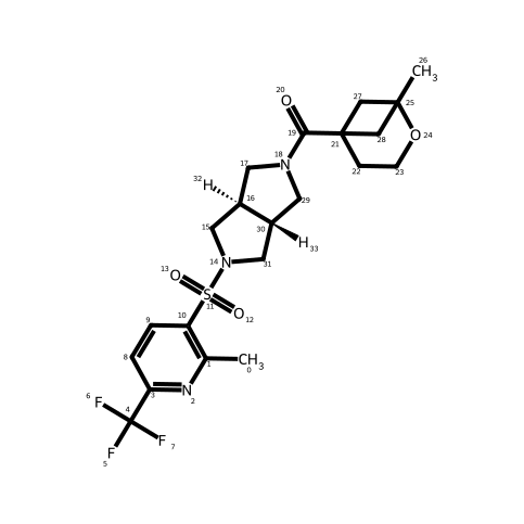 Cc1nc(C(F)(F)F)ccc1S(=O)(=O)N1C[C@H]2CN(C(=O)C34CCOC(C)(C3)C4)C[C@@H]2C1